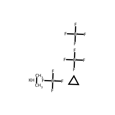 C1CC1.CC.F[B-](F)(F)F.F[B-](F)(F)F.F[B-](F)(F)F.[KH]